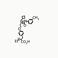 CCOC(Cc1ccc(OCCN(CC2CCC2)C(=O)Nc2cccc(C)c2)cc1)C(=O)O